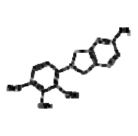 COc1ccc(N2Cc3ccc(N)cc3C2)c(OC)c1OC